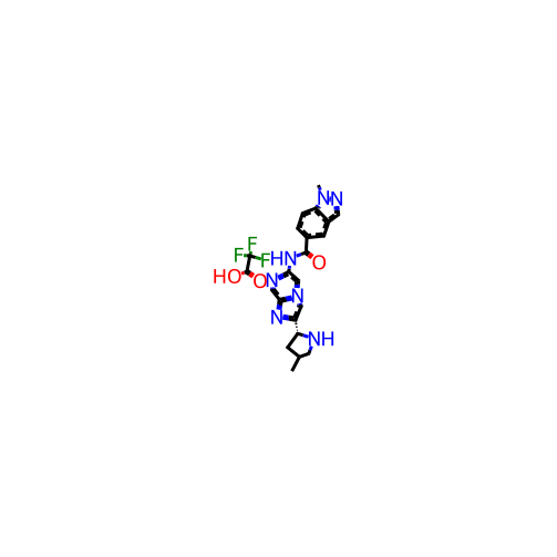 CC1CN[C@@H](c2cn3cc(NC(=O)c4ccc5c(cnn5C)c4)ncc3n2)C1.O=C(O)C(F)(F)F